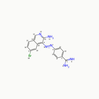 N=C(N)c1ccc(/N=N/c2c(N)ncc3ccc(Br)cc23)cc1